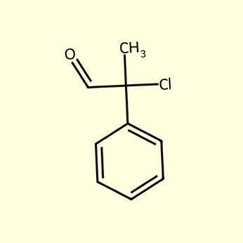 CC(Cl)(C=O)c1ccccc1